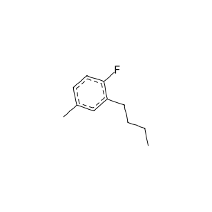 CCCCc1cc(C)ccc1F